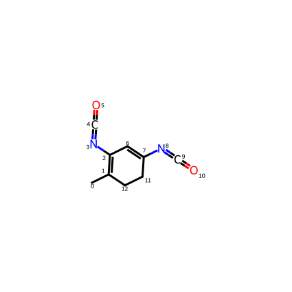 CC1=C(N=C=O)C=C(N=C=O)CC1